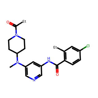 CCC(=O)N1CCC(N(C)c2cncc(NC(=O)c3ccc(Cl)cc3CC)c2)CC1